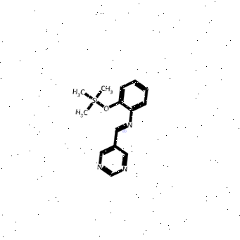 C[Si](C)(C)Oc1ccccc1/N=C/c1cncnc1